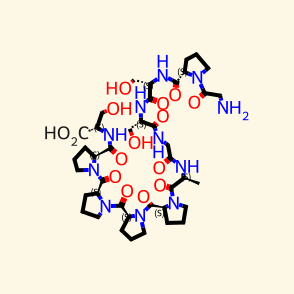 C[C@H](NC(=O)CNC(=O)[C@H](CO)NC(=O)[C@H](CO)NC(=O)[C@@H]1CCCN1C(=O)CN)C(=O)N1CCC[C@H]1C(=O)N1CCC[C@H]1C(=O)N1CCC[C@H]1C(=O)N1CCC[C@H]1C(=O)N[C@@H](CO)C(=O)O